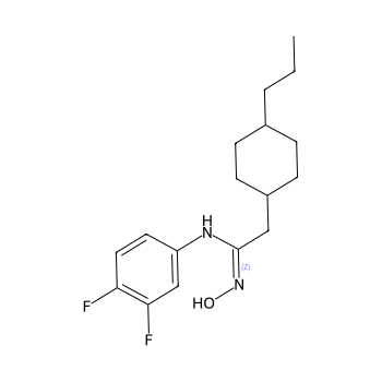 CCCC1CCC(C/C(=N/O)Nc2ccc(F)c(F)c2)CC1